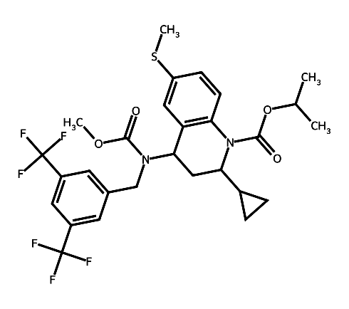 COC(=O)N(Cc1cc(C(F)(F)F)cc(C(F)(F)F)c1)C1CC(C2CC2)N(C(=O)OC(C)C)c2ccc(SC)cc21